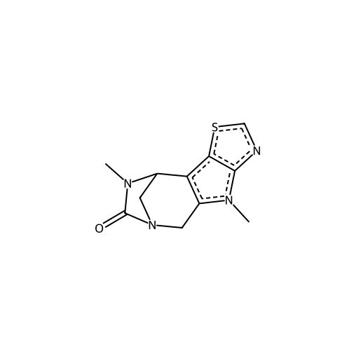 CN1C(=O)N2Cc3c(c4scnc4n3C)C1C2